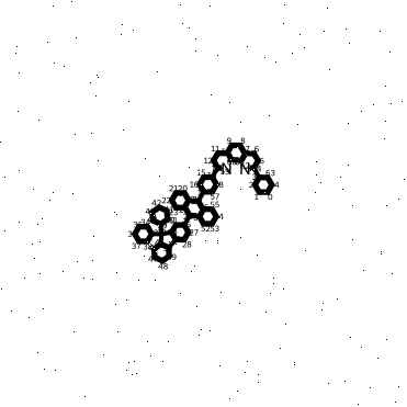 c1ccc(-c2ccc3ccc4ccc(-c5ccc(-c6c7ccccc7c(-c7ccc8c(c7)C(c7ccccc7)(c7ccccc7)c7ccccc7-8)c7ccccc67)cc5)nc4c3n2)cc1